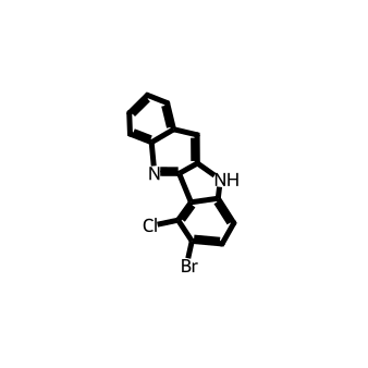 Clc1c(Br)ccc2[nH]c3cc4ccccc4nc3c12